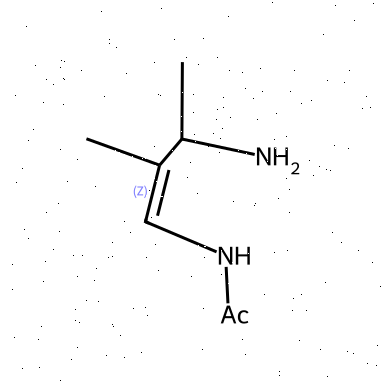 CC(=O)N/C=C(/C)C(C)N